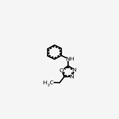 CCc1nnc(Nc2ccccc2)o1